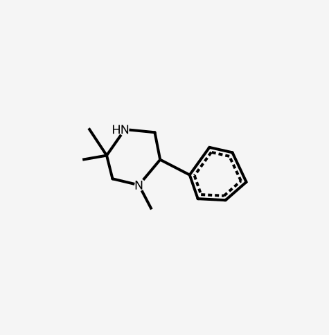 CN1CC(C)(C)NCC1c1ccccc1